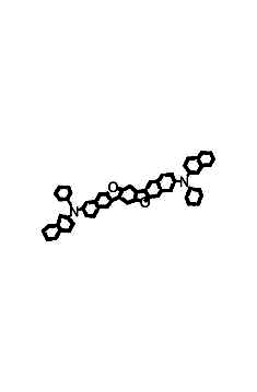 c1ccc(N(c2ccc3ccccc3c2)c2ccc3cc4c(cc3c2)oc2cc3c(cc24)oc2cc4cc(N(c5ccccc5)c5ccc6ccccc6c5)ccc4cc23)cc1